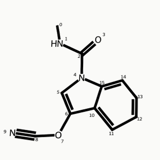 CNC(=O)n1cc(OC#N)c2ccccc21